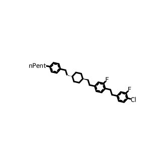 CCCCCc1ccc(CC[C@H]2CC[C@H](CCc3ccc(CCc4ccc(Cl)c(F)c4)c(F)c3)CC2)cc1